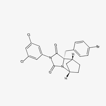 O=C1N(c2cc(Cl)cc(Cl)c2)C(=O)[C@@]2(Cc3ccc(Br)cc3)[C@@H]3CC[C@@H](C3)N12